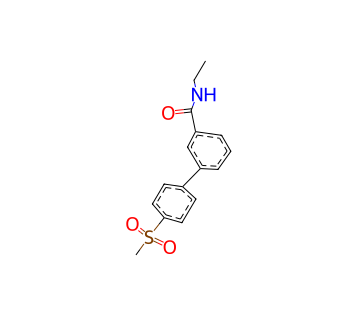 CCNC(=O)c1cccc(-c2ccc(S(C)(=O)=O)cc2)c1